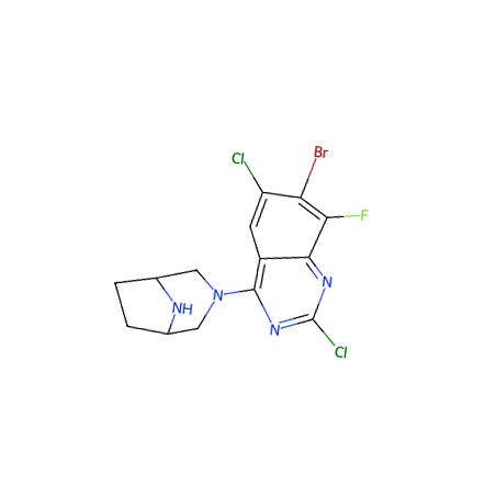 Fc1c(Br)c(Cl)cc2c(N3CC4CCC(C3)N4)nc(Cl)nc12